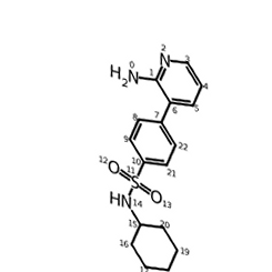 Nc1ncccc1-c1ccc(S(=O)(=O)NC2CCCCC2)cc1